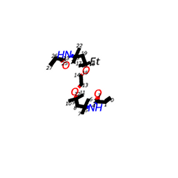 C=CC(=O)NC(C)(C)CC(C)(C)OCCOC(C)(CC)CC(C)(C)NC(=O)C=C